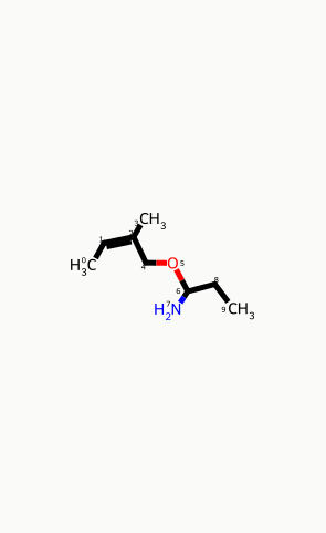 C/C=C(/C)COC(N)CC